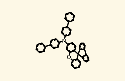 c1ccc(-c2ccc(N(c3ccc(-c4ccccc4)cc3)c3ccc4c(c3)Oc3ccccc3C43c4ccccc4-c4ccccc43)cc2)cc1